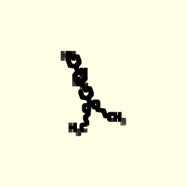 CCCCOC(OCCCC)C1CCN(c2cnc(C3CCNCC3)cn2)CC1